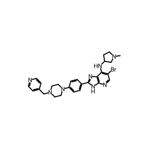 CN1CCC(Nc2c(Br)cnc3[nH]c(-c4ccc(N5CCN(Cc6ccncc6)CC5)cc4)nc23)C1